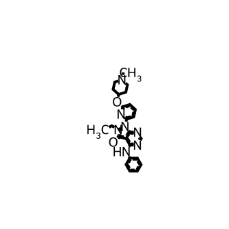 CCn1c(=O)c2c(Nc3ccccc3)ncnc2n1-c1cccc(OC2CCN(C)CC2)n1